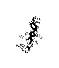 CCc1nc2cc(-c3cc(C)c(/C=C(\C)C(=O)N[C@H](C)C(=O)O)cc3C)ccc2[nH]1